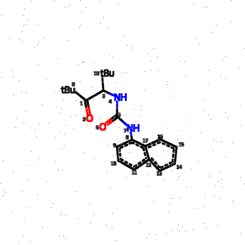 CC(C)(C)C(=O)C(NC(=O)Nc1cccc2ccccc12)C(C)(C)C